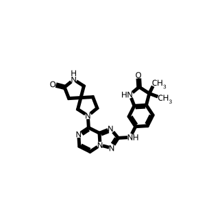 CC1(C)C(=O)Nc2cc(Nc3nc4c(N5CCC6(CNC(=O)C6)C5)nccn4n3)ccc21